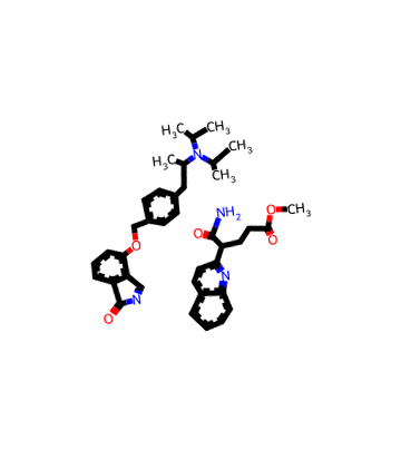 CC(C)N(C(C)C)C(C)Cc1ccc(COc2cccc3c2C=NC3=O)cc1.COC(=O)CCC(C(N)=O)c1ccc2ccccc2n1